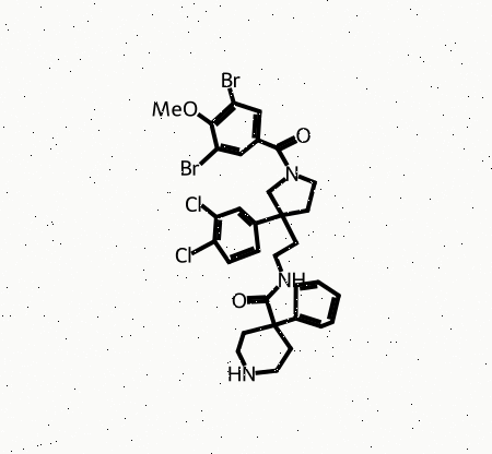 COc1c(Br)cc(C(=O)N2CCC(CCNC(=O)C3(c4ccccc4)CCNCC3)(c3ccc(Cl)c(Cl)c3)C2)cc1Br